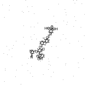 Cc1c(COc2cc(OCc3cncc(C#N)c3)c(CN3CCCCC3C(=O)O)cc2Cl)cccc1-c1cccc(OCCCN2CCC(CO)(C(=O)O)CC2)c1C